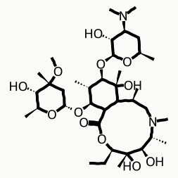 CC[C@H]1OC(=O)C2C([C@@H](C)CN(C)[C@H](C)[C@@H](O)[C@]1(C)O)[C@@](C)(O)[C@H](O[C@@H]1O[C@H](C)C[C@H](N(C)C)[C@H]1O)[C@@H](C)[C@@H]2O[C@H]1C[C@@](C)(OC)[C@@H](O)[C@H](C)O1